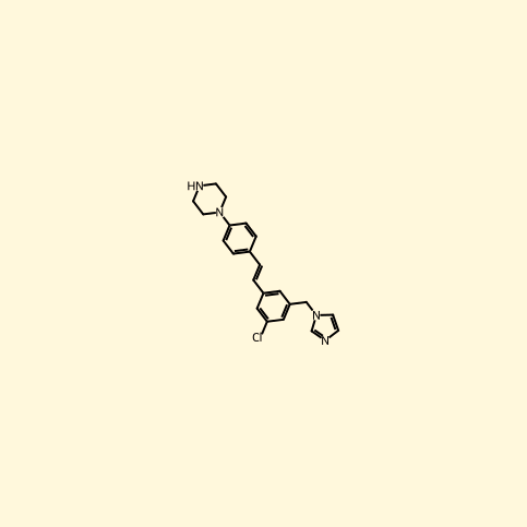 Clc1cc(C=Cc2ccc(N3CCNCC3)cc2)cc(Cn2ccnc2)c1